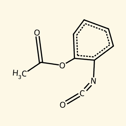 CC(=O)Oc1ccccc1N=C=O